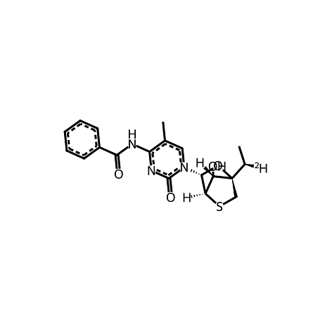 [2H][C@H](C)[C@@]12CS[C@@H]([C@H](n3cc(C)c(NC(=O)c4ccccc4)nc3=O)O1)[C@@H]2O